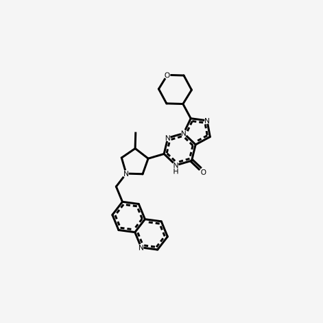 CC1CN(Cc2ccc3ncccc3c2)CC1c1nn2c(C3CCOCC3)ncc2c(=O)[nH]1